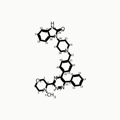 CN1CCOCC1c1nnc(-c2ccccc2)c(-c2ccc(CN3CCC(n4c(=O)[nH]c5ccccc54)CC3)cc2)n1